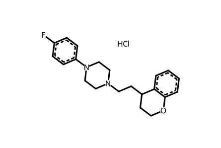 Cl.Fc1ccc(N2CCN(CCC3CCOc4ccccc43)CC2)cc1